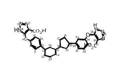 O=C(O)c1nn[nH]c1Oc1ccc(C2CCCC(C3CCC(c4cccc(Oc5[nH]nnc5C(=O)O)c4)C3)C2)cc1